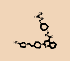 O=C(O)NC[C@H]1CC[C@H](CNC(=O)c2cc(N3CCC(CCN4CCC(O)C4)CC3)nc3ccccc23)CC1